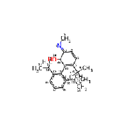 CN=C1C=CC(C(C)(C)C)=C(c2c(C(C)C)cccc2C(C)C)C1O